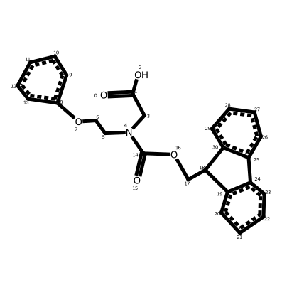 O=C(O)CN(CCOc1ccccc1)C(=O)OCC1c2ccccc2-c2ccccc21